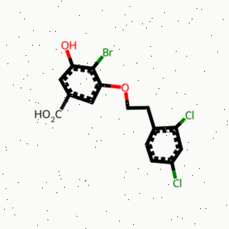 O=C(O)c1cc(O)c(Br)c(OCCc2ccc(Cl)cc2Cl)c1